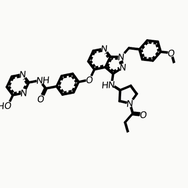 CCC(=O)N1CCC(Nc2nn(Cc3ccc(OC)cc3)c3nccc(Oc4ccc(C(=O)Nc5nccc(O)n5)cc4)c23)C1